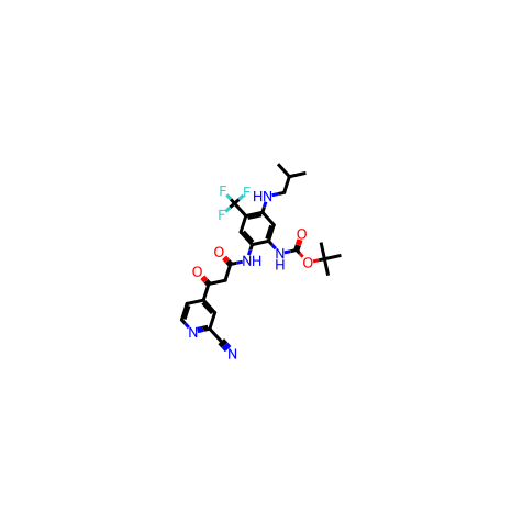 CC(C)CNc1cc(NC(=O)OC(C)(C)C)c(NC(=O)CC(=O)c2ccnc(C#N)c2)cc1C(F)(F)F